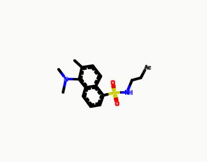 CC(=O)CCNS(=O)(=O)c1cccc2c(N(C)C)c(C)ccc12